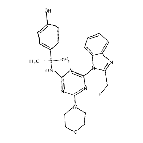 CC(C)(Nc1nc(N2CCOCC2)nc(-n2c(CF)nc3ccccc32)n1)c1ccc(O)cc1